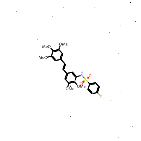 COc1cc(C=Cc2cc(OC)c(OC)c(OC)c2)cc(NS(=O)(=O)c2ccc(F)cc2)c1OC